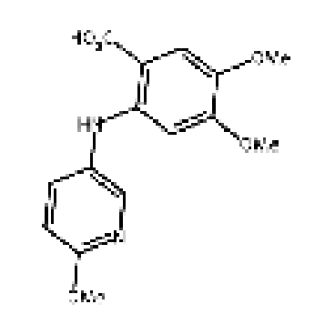 COc1ccc(Nc2cc(OC)c(OC)cc2C(=O)O)cn1